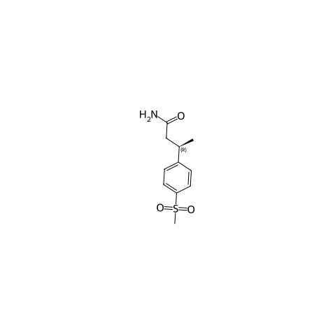 C[C@H](CC(N)=O)c1ccc(S(C)(=O)=O)cc1